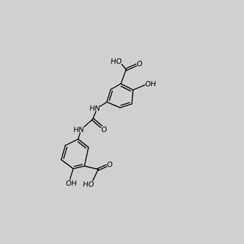 O=C(Nc1ccc(O)c(C(=O)O)c1)Nc1ccc(O)c(C(=O)O)c1